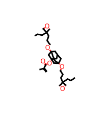 C=C(C)C(=O)OC12CC3CC(OCCCC4(CCC)COC4)(CC(OCCCC4(CCC)COC4)(C3)C1)C2